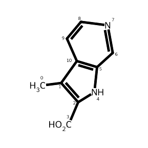 Cc1c(C(=O)O)[nH]c2cnccc12